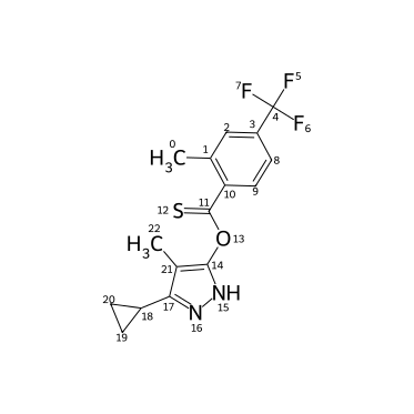 Cc1cc(C(F)(F)F)ccc1C(=S)Oc1[nH]nc(C2CC2)c1C